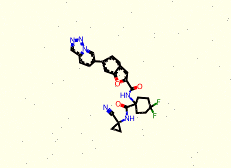 N#CC1(NC(=O)C2(NC(=O)c3cc4ccc(-c5ccc6cnnn6c5)cc4o3)CCC(F)(F)CC2)CC1